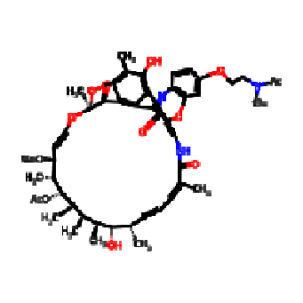 CO[C@H]1/C=C/O[C@@]2(C)Oc3c(C)c(O)c4c(=O)c(c5oc6cc(OCCN(C(C)=O)C(C)(C)C)ccc6nc-5c4c3C2=O)NC(=O)/C(C)=C\C=C\[C@H](C)[C@H](O)[C@@H](C)[C@@H](C)[C@@H](C)[C@H](OC(C)=O)[C@@H]1C